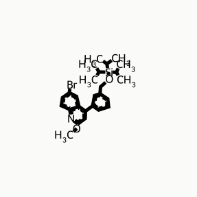 COc1cc(-c2cccc(CO[Si](C(C)C)(C(C)C)C(C)C)c2)c2cc(Br)ccc2n1